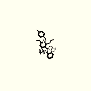 CCCc1c(C(=O)Nc2ccccc2Cl)c(=O)cc(CC)n1Cc1ccc(C)cc1